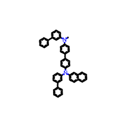 CN(c1ccc(-c2ccc(N(c3cccc(-c4ccccc4)c3)c3ccc4ccccc4c3)cc2)cc1)c1cccc(-c2ccccc2)c1